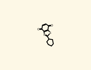 O=C1C=CC(=O)c2sc(C3CCCCC3)nc21